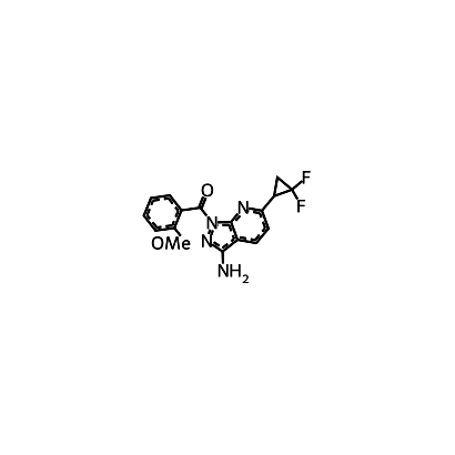 COc1ccccc1C(=O)n1nc(N)c2ccc(C3CC3(F)F)nc21